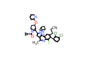 Cc1nc2c(F)c(-c3cccc(Cl)c3Cl)c(CCC#N)cc2c2c1cc(C1C3CC(CC3Oc3ccccn3)N1C(=O)C1CC1)n2C1C2CNC1C2